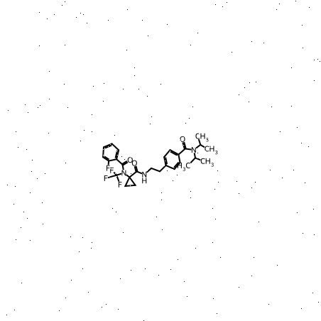 CC(C)N(C(=O)c1ccc(CCNC(=O)C2(N(C(=O)c3ccccc3F)C(F)(F)F)CC2)cc1)C(C)C